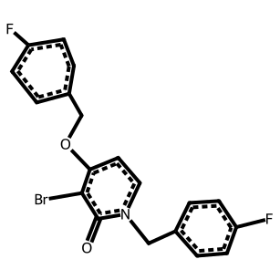 O=c1c(Br)c(OCc2ccc(F)cc2)ccn1Cc1ccc(F)cc1